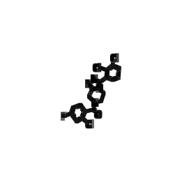 O=C(c1ccc(F)cc1Cl)N1CCn2c(nnc2-c2cccc(Cl)c2Cl)C1